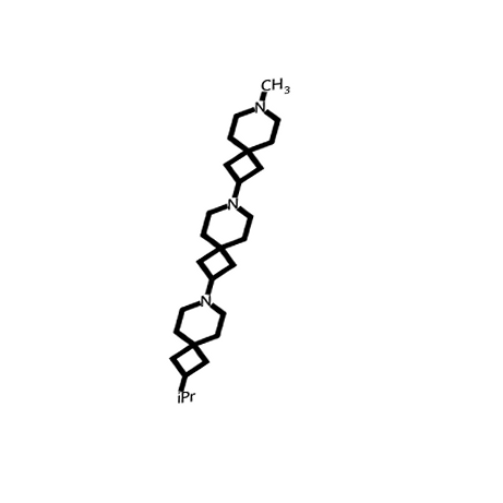 CC(C)C1CC2(CCN(C3CC4(CCN(C5CC6(CCN(C)CC6)C5)CC4)C3)CC2)C1